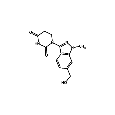 Cn1nc(N2CCC(=O)NC2=O)c2ccc(CO)cc21